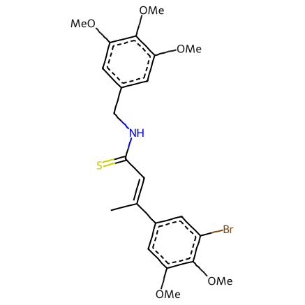 COc1cc(/C(C)=C/C(=S)NCc2cc(OC)c(OC)c(OC)c2)cc(Br)c1OC